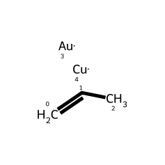 C=CC.[Au].[Cu]